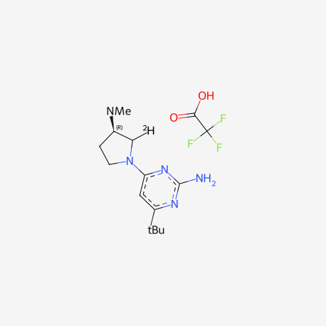 O=C(O)C(F)(F)F.[2H]C1[C@H](NC)CCN1c1cc(C(C)(C)C)nc(N)n1